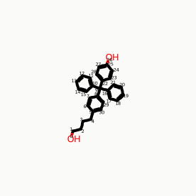 OCCCCc1ccc(C(c2ccccc2)(c2ccccc2)c2ccc(O)cc2)cc1